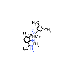 C=Nc1c(C(=C)N)cccc1C(C)(NC)NCc1cc(C)cc(C)c1